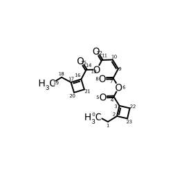 CCC1=C(C(=O)OC(=O)/C=C\C(=O)OC(=O)C2=C(CC)CC2)CC1